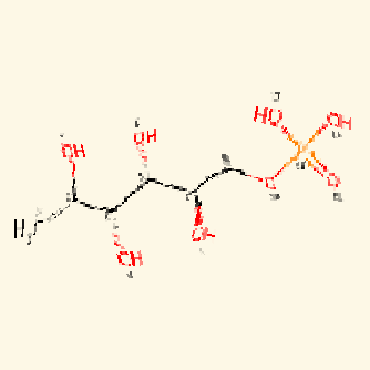 C[C@H](O)[C@@H](O)[C@H](O)[C@H](O)COP(=O)(O)O